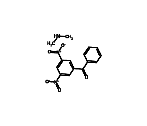 CNC.O=C(c1ccccc1)c1cc([N+](=O)[O-])cc([N+](=O)[O-])c1